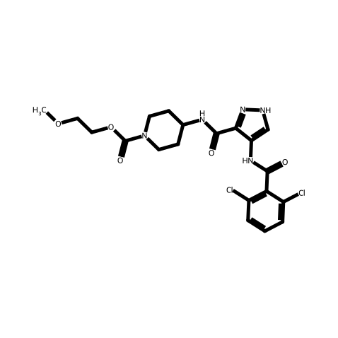 COCCOC(=O)N1CCC(NC(=O)c2n[nH]cc2NC(=O)c2c(Cl)cccc2Cl)CC1